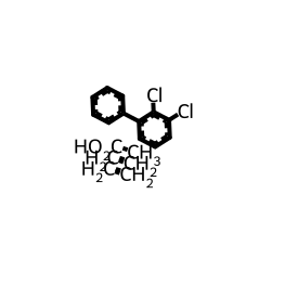 C=C.C=C.CC(=O)O.Clc1cccc(-c2ccccc2)c1Cl